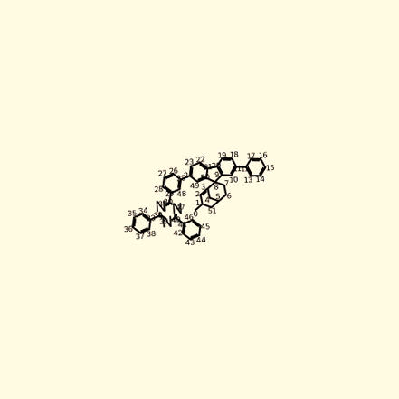 CC1C=C2CC(CCC23c2cc(-c4ccccc4)ccc2-c2ccc(-c4cccc(-c5nc(-c6ccccc6)nc(-c6ccccc6)n5)c4)cc23)C1